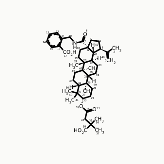 C=C(C)[C@@H]1CC[C@]2(C(=O)NCc3ccccc3C(=O)O)CC[C@]3(C)[C@H](CC[C@@H]4[C@@]5(C)CC[C@H](OC(=O)CC(C)(C)C(=O)O)C(C)(C)[C@@H]5CC[C@]43C)[C@@H]12